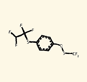 FC(F)C(F)(F)Sc1ccc(OSC(F)(F)F)cc1